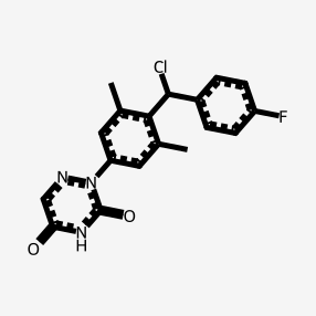 Cc1cc(-n2ncc(=O)[nH]c2=O)cc(C)c1C(Cl)c1ccc(F)cc1